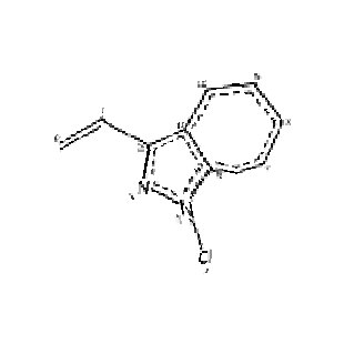 C=Cc1nn(Cl)c2ccccc12